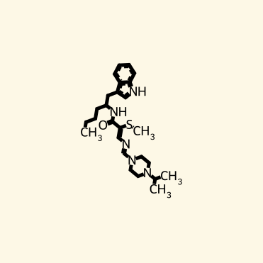 CCCCC(Cc1c[nH]c2ccccc12)NC(=O)/C(=C/N=C/N1CCN(C(C)C)CC1)SC